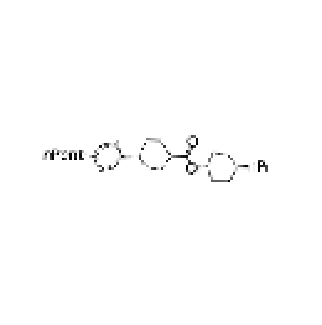 CCCCCc1ccc([C@H]2CC[C@H](C(=O)O[C@H]3CC[C@H](CCC)CC3)CC2)cc1